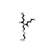 NCCSSCCN(C(=O)CCCCl)C(=O)CCCCl